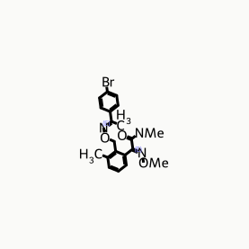 CNC(=O)/C(=N/OC)c1cccc(C)c1CO/N=C(\C)c1ccc(Br)cc1